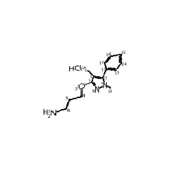 Cc1c(OCCCN)nn(C)c1-c1ccccc1.Cl